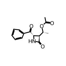 CC(=O)O[C@H](C)[C@H]1C(=O)N[C@@H]1C(=O)c1ccccc1